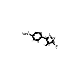 COc1ccc(-c2noc(Br)c2C)cc1